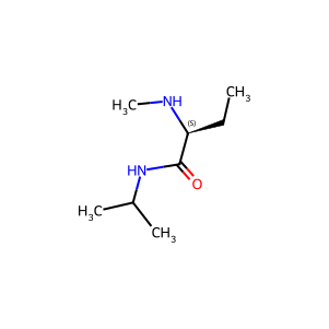 CC[C@H](NC)C(=O)NC(C)C